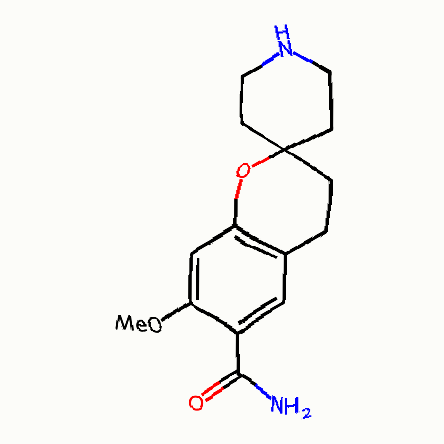 COc1cc2c(cc1C(N)=O)CCC1(CCNCC1)O2